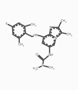 Cc1cc(F)cc(C)c1CNc1cc(NC(=O)N(C)C)cn2c(C)c(C)nc12